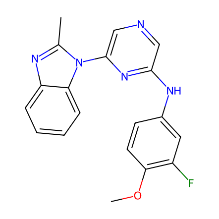 COc1ccc(Nc2cncc(-n3c(C)nc4ccccc43)n2)cc1F